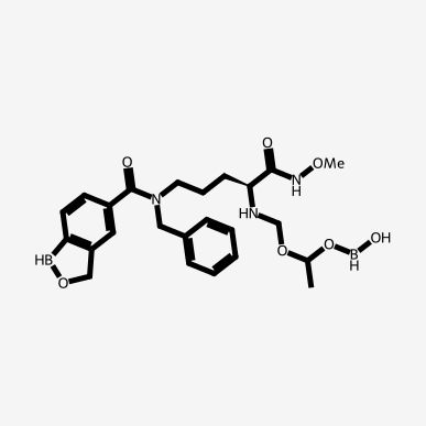 CONC(=O)[C@H](CCCN(Cc1ccccc1)C(=O)c1ccc2c(c1)COB2)NCOC(C)OBO